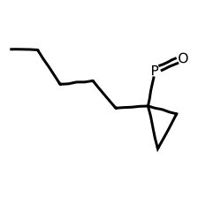 CCCCCC1(P=O)CC1